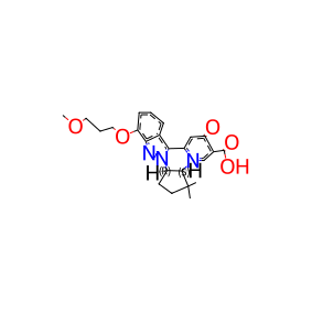 COCCCOc1cccc2c3n(nc12)[C@@H]1CCC(C)(C)[C@@H]1n1cc(C(=O)O)c(=O)cc1-3